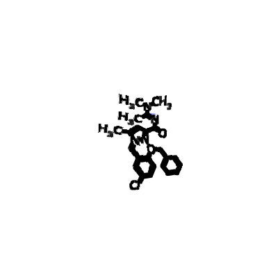 C/C(=N\C(=O)c1cc(C)n(Cc2cc(Cl)ccc2OCc2ccccc2)n1)N(C)C